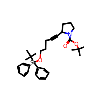 CC(C)(C)OC(=O)N1CCCC1C#CCCCO[Si](c1ccccc1)(c1ccccc1)C(C)(C)C